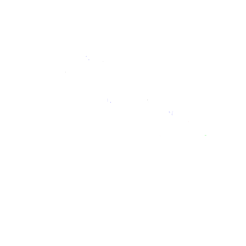 O=S(=O)(NC1CCC(Nc2ccnc3cc(Cl)ccc23)CC1)c1cc(Cl)c(Cl)cc1Cl